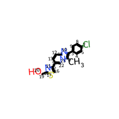 Cc1c(-c2ccc(Cl)cc2)nc2ccc(-c3csc(CO)n3)cn12